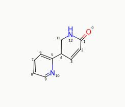 O=C1C=CC(c2ccccn2)CN1